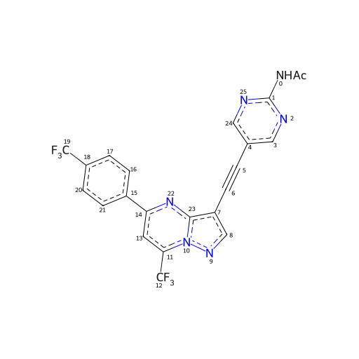 CC(=O)Nc1ncc(C#Cc2cnn3c(C(F)(F)F)cc(-c4ccc(C(F)(F)F)cc4)nc23)cn1